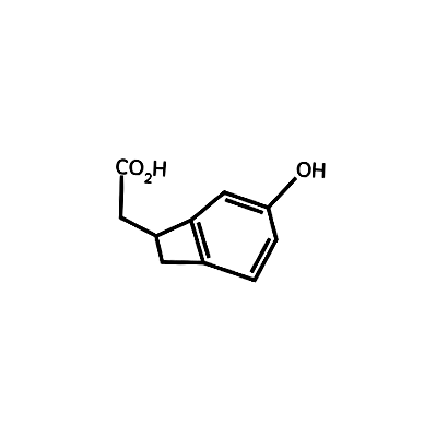 O=C(O)CC1Cc2ccc(O)cc21